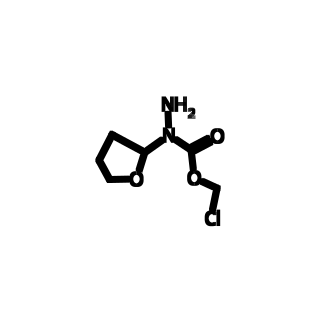 NN(C(=O)OCCl)C1CCCO1